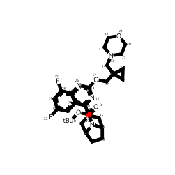 CC(C)(C)OC(=O)N1C2CCC1CN(c1nc(OCC3(CN4CCOCC4)CC3)nc3c(F)cc(F)cc13)C2